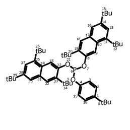 CC(C)(C)c1ccc(OP(Oc2cc3c(C(C)(C)C)cc(C(C)(C)C)cc3cc2C(C)(C)C)Oc2cc3c(C(C)(C)C)cc(C(C)(C)C)cc3cc2C(C)(C)C)cc1